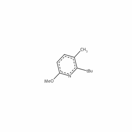 COc1ccc(C)c(C(C)(C)C)n1